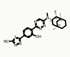 CN(c1cnc(-c2ccc(-c3nnc(C#N)s3)cc2O)nn1)[C@H]1C[C@]2(C)CCC[C@@](C)(C2)[C@H]1F